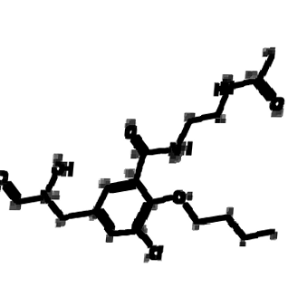 CCCCOc1c(Cl)cc(CN(O)C=O)cc1C(=O)NCCNC(C)=O